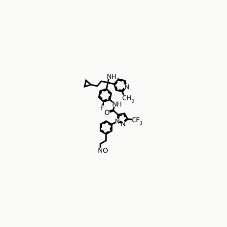 Cc1cc(C(N)(CCC2CC2)c2ccc(F)c(NC(=O)c3cc(C(F)(F)F)nn3-c3cccc(CCN=O)c3)c2)ccn1